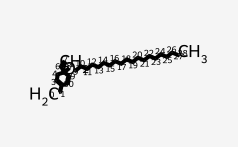 C=CC1=CCC(C=C)(OCCCCCCCCCCCCCCCCCCCC)C=C1